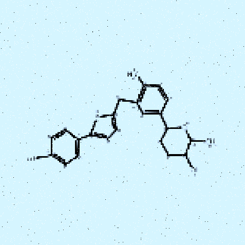 Cc1ccc(C2CCC(O)C(C)O2)cc1Cc1ccc(-c2ccc(F)cc2)s1